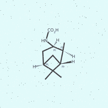 C[C@H]1[C@H]2C[C@H](C[C@H]1NC(=O)O)C2(C)C